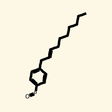 CCCCCCCC=CCc1ccc(P=O)cc1